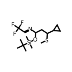 CSC(CC(N=CC(F)(F)F)O[Si](C)(C)C(C)(C)C)C1CC1